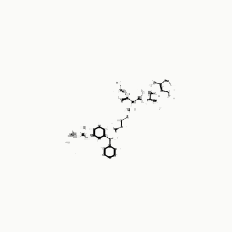 C=CC1=C(C(=O)O)N2C(=O)C(NC(=O)C(=NOCCCC(=O)OC(c3ccccc3)c3cccc(NC(=O)OC(C)(C)C)c3)c3csc(N)n3)[C@@H]2SC1